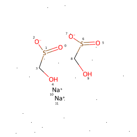 O=S([O-])CO.O=S([O-])CO.[Na+].[Na+]